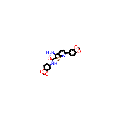 Nc1c(C(=O)Nc2ccc3c(c2)OCO3)sc2nc(-c3ccc4c(c3)OCO4)ccc12